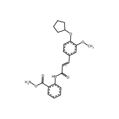 COc1cc(/C=C/C(=O)Nc2ccccc2C(=O)ON)ccc1OC1CCCC1